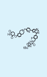 CC(C)(C)c1nc(C(=O)NCc2ccc(-c3ncnn4cc(-c5ccc(CN6CCc7ccc(OC8CCC(=O)NC8=O)cc7CC6)cn5)cc34)cc2F)no1